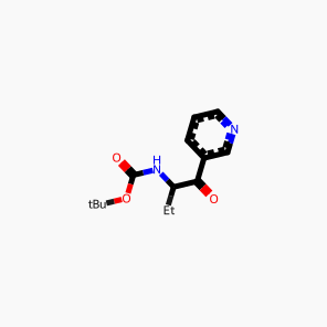 CCC(NC(=O)OC(C)(C)C)C(=O)c1cccnc1